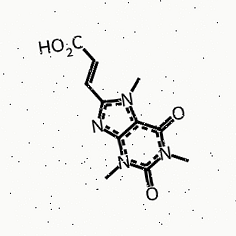 Cn1c(=O)c2c(nc(C=CC(=O)O)n2C)n(C)c1=O